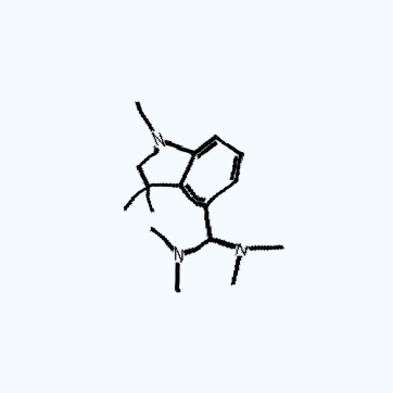 CN1CC(C)(C)c2c(C(N(C)C)N(C)C)cccc21